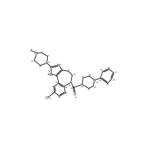 CN1CCN(c2nc3c([nH]2)-c2cc(Cl)ccc2N(C(=O)C2CCN(c4ccccc4)CC2)CC3)CC1